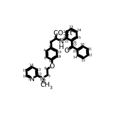 CCOC(=O)C(Cc1ccc(OCCN(C)c2ccccn2)cc1)Nc1ccccc1C(=O)c1ccccc1